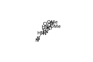 COc1c(Cl)c(NC(=O)c2csc3c(NCCCCn4ccnc4)ncnc23)c(Cl)c(OC)c1Br